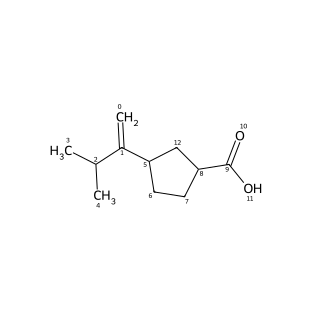 C=C(C(C)C)C1CCC(C(=O)O)C1